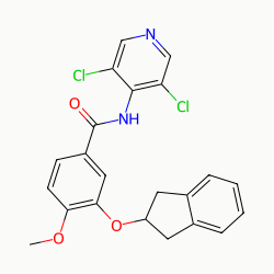 COc1ccc(C(=O)Nc2c(Cl)cncc2Cl)cc1OC1Cc2ccccc2C1